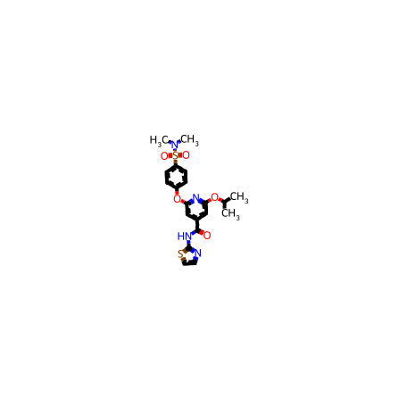 CC(C)Oc1cc(C(=O)Nc2nccs2)cc(Oc2ccc(S(=O)(=O)N(C)C)cc2)n1